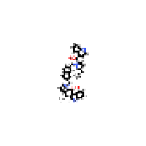 CCC1C[N+]2(Cc3ccc4ccc(C[N+]56CCC(CC5[C@@H](O)c5ccnc7ccccc57)C(CC)C6)cc4c3)CCC1CC2[C@@H](O)c1ccnc2ccccc12